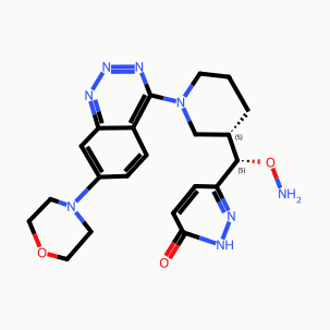 NO[C@H](c1ccc(=O)[nH]n1)[C@H]1CCCN(c2nnnc3cc(N4CCOCC4)ccc23)C1